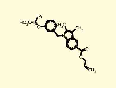 C=CCOC(=O)c1ccc2c(c1)c(C)c(C)n2Cc1cccc(O[C@@H](C(=O)O)C(C)C)c1